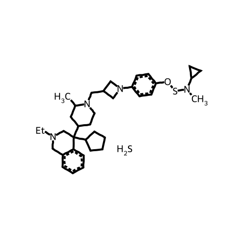 CCN1Cc2ccccc2C(C2CCCC2)(C2CCN(CC3CN(c4ccc(OSN(C)C5CC5)cc4)C3)C(C)C2)C1.S